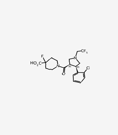 O=C([C@H]1CN(CC(F)(F)F)C[C@H]1c1ccccc1Cl)N1CCC(F)(C(=O)O)CC1